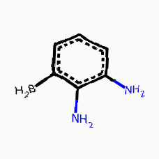 Bc1cccc(N)c1N